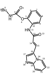 CC(C)(C)NC(=O)Oc1ccccc1NC(=O)/C=C/c1cnc2ccccn12